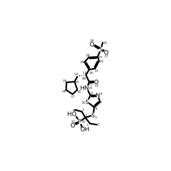 CCC(CC)(Sc1cnc(NC(=O)[C@H](CC2CCCC2)c2ccc(S(C)(=O)=O)cc2)s1)P(=O)(O)O